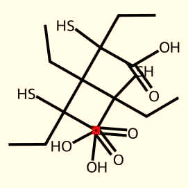 CCC(S)(C(=O)O)C(CC)(C(S)(CC)C(=O)O)C(S)(CC)C(=O)O